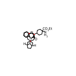 CCOC(=O)C1(N)CCC(c2nc3ccccc3n([C@H]3C[C@H]4CC[C@@H](C3)N4C3CCCCCCC3)c2=O)CC1